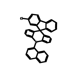 Clc1ccc2c(c1)C1(c3ccccc3-2)c2ccccc2N(c2cccc3ccccc23)c2ccccc21